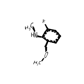 CNc1c(F)cccc1COC